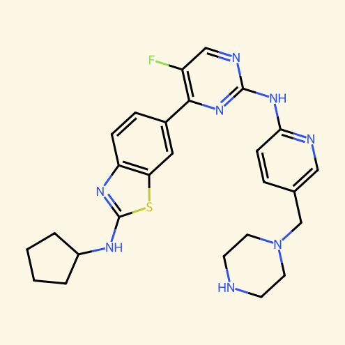 Fc1cnc(Nc2ccc(CN3CCNCC3)cn2)nc1-c1ccc2nc(NC3CCCC3)sc2c1